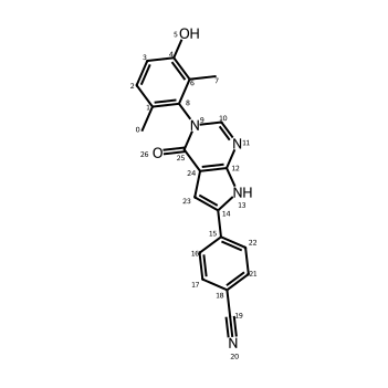 Cc1ccc(O)c(C)c1-n1cnc2[nH]c(-c3ccc(C#N)cc3)cc2c1=O